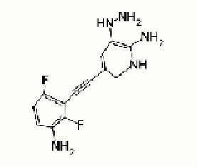 NNC1=C(N)NCC(C#Cc2c(F)ccc(N)c2F)=C1